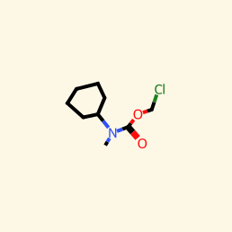 CN(C(=O)OCCl)C1CCCCC1